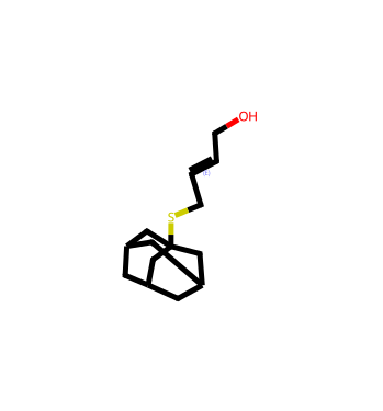 OC/C=C/CSC12CC3CC(CC(C3)C1)C2